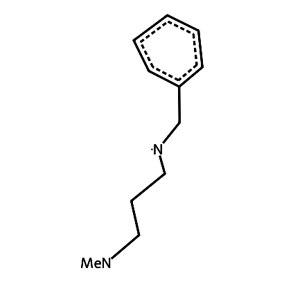 CNCCC[N]Cc1ccccc1